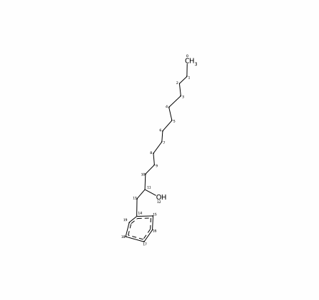 CCCCCCCCCCCC(O)Cc1ccccc1